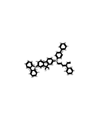 C=C/C(=C\C=C\N(c1ccc(-c2ccccc2)cc1)c1ccc2c(c1)C(C)(C)c1cc(-n3c4ccccc4c4ccccc43)ccc1-2)c1ccccc1